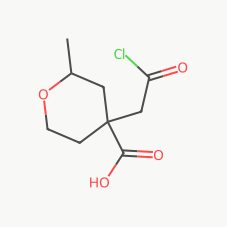 CC1CC(CC(=O)Cl)(C(=O)O)CCO1